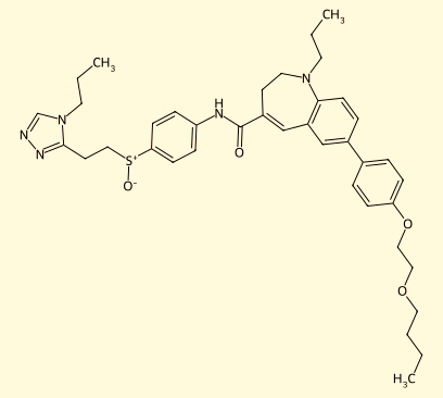 CCCCOCCOc1ccc(-c2ccc3c(c2)C=C(C(=O)Nc2ccc([S+]([O-])CCc4nncn4CCC)cc2)CCN3CCC)cc1